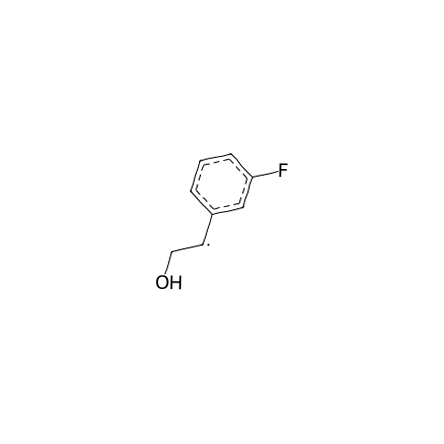 OC[CH]c1cccc(F)c1